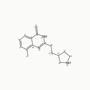 Cc1cccc2c(=O)[nH]c(CSC3CCNC3)nc12